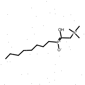 CCCCCCCC/[P+]([O-])=C(\O)C[N+](C)(C)C